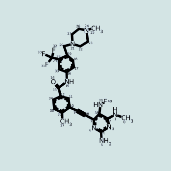 CNc1nc(N)nc(C#Cc2cc(C(=O)Nc3ccc(CN4CCN(C)CC4)c(C(F)(F)F)c3)ccc2C)c1NF